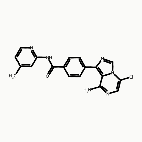 Cc1ccnc(NC(=O)c2ccc(-c3ncn4c(Cl)cnc(N)c34)cc2)c1